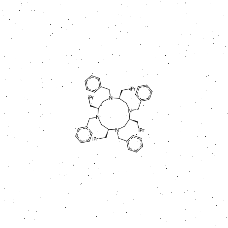 CC(C)C[C@H]1CN(Cc2ccccc2)[C@@H](CC(C)C)CN(Cc2ccccc2)[C@@H](CC(C)C)CN(Cc2ccccc2)[C@@H](CC(C)C)CN1Cc1ccccc1